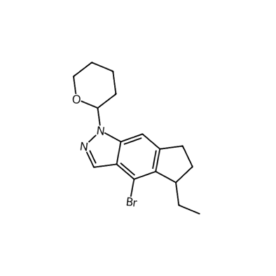 CCC1CCc2cc3c(cnn3C3CCCCO3)c(Br)c21